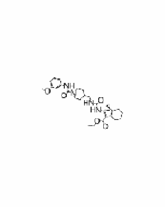 CCOC(=O)c1c(NC(=O)NCC2CCN(C(=O)Nc3cccc(OC)c3)CC2)sc2c1CCCC2